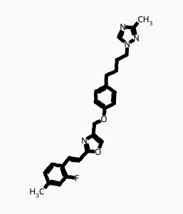 Cc1ccc(/C=C/c2nc(COc3ccc(CCCCn4cnc(C)n4)cc3)co2)c(F)c1